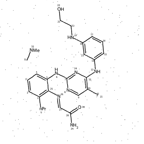 CCCc1cccc(Nc2ncc(F)c(Nc3cccc(NCCO)c3)n2)c1N=CC(N)=O.CNC